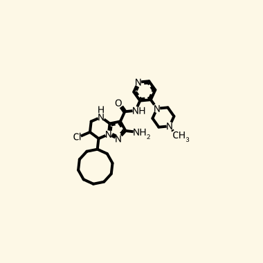 CN1CCN(c2ccncc2NC(=O)c2c(N)nn3c2NCC(Cl)C3C2CCCCCCCCC2)CC1